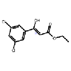 CCOC(=O)/C=C(\O)c1cc(Cl)cc(Cl)c1